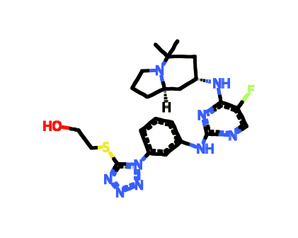 CC1(C)C[C@H](Nc2nc(Nc3cccc(-n4nnnc4SCCO)c3)ncc2F)C[C@H]2CCCN21